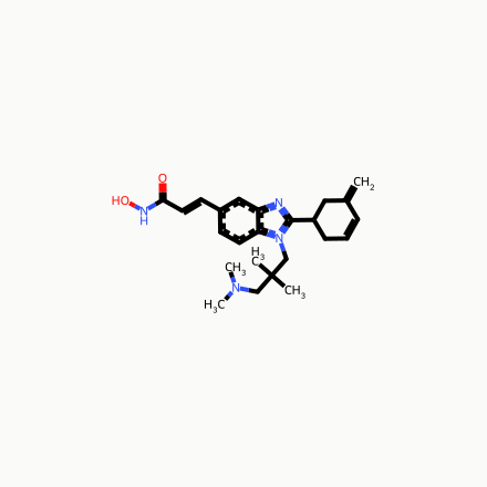 C=C1C=CCC(c2nc3cc(/C=C/C(=O)NO)ccc3n2CC(C)(C)CN(C)C)C1